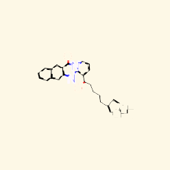 C/C=C\C(=C/C)CCCCC(=O)c1cccn2c(=O)c3cc4ccccc4cc3nc12